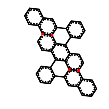 c1ccc(-c2c3ccccc3c(-c3ccccc3-c3ccc4ccccc4c3)c3cnccc23)c(-c2ccc3ccccc3c2)c1